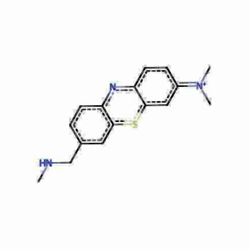 CNCc1ccc2nc3ccc(=[N+](C)C)cc-3sc2c1